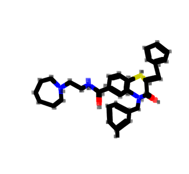 Cc1cccc(CN2C(=O)C(=Cc3ccccc3)Sc3ccc(C(=O)NCCN4CCCCCC4)cc32)c1